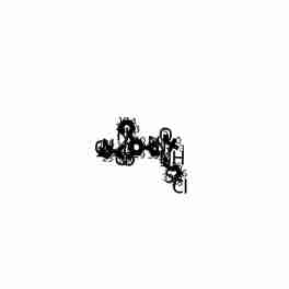 CC(C)(C)C(=O)n1nc(-c2cc(-c3ccccn3)n(CC(=O)c3ccon3)c(=O)c2)cc1NCc1ccc(Cl)s1